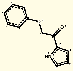 O=C(COc1ccccc1)c1ccc[nH]1